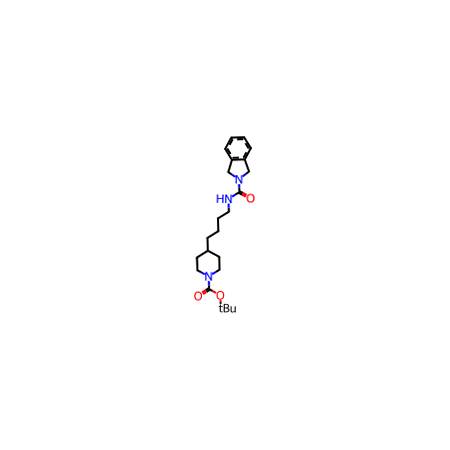 CC(C)(C)OC(=O)N1CCC(CCCCNC(=O)N2Cc3ccccc3C2)CC1